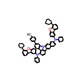 N#Cc1ccc(-c2ccc3c4c(N(c5ccccc5)c5ccc6oc7c(C8CCCCC8)cccc7c6c5)ccc5c6cc7ccc(N(c8ccccc8)c8ccc9oc%10c(C%11CCCCC%11)cccc%10c9c8)cc7cc6n(c3c2)c54)cc1